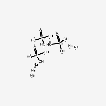 O=P(O)(O)O.O=P(O)(O)O.O=P(O)(O)O.[Na].[Na].[Na].[Na].[Na]